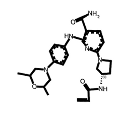 C=CC(=O)N[C@H]1CCN(c2ccc(C(N)=O)c(Nc3ccc(N4CC(C)OC(C)C4)cc3)n2)C1